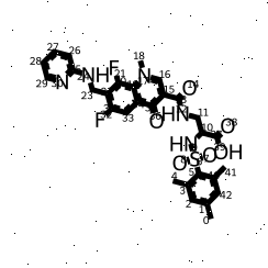 Cc1cc(C)c(S(=O)(=O)NC(CNC(=O)c2cn(C)c3c(F)c(CNc4ccccn4)c(F)cc3c2=O)C(=O)O)c(C)c1